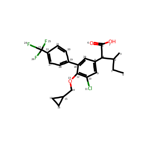 CCC(C)C(C(=O)O)c1cc(Cl)c(OCC2CC2)c(-c2ccc(C(F)(F)F)cc2)c1